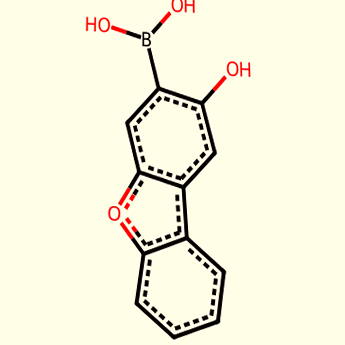 OB(O)c1cc2oc3ccccc3c2cc1O